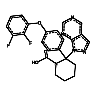 O=C(O)N1CCCCC1(c1ccc(Oc2cccc(F)c2F)cc1)n1ncc2cncnc21